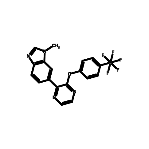 Cn1cnc2ccc(-c3nccnc3Oc3ccc(S(F)(F)(F)(F)F)cc3)cc21